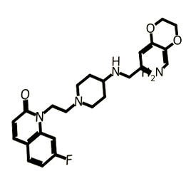 C=C(/C=C1/OCCO/C1=C/N)CNC1CCN(CCn2c(=O)ccc3ccc(F)cc32)CC1